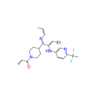 C=CC(=O)N1CCC(C(=N/C=C\C)/C(=C/CC)Nc2ccc(C(C)(F)F)nc2)CC1